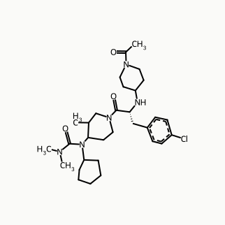 CC(=O)N1CCC(N[C@H](Cc2ccc(Cl)cc2)C(=O)N2CCC(N(C(=O)N(C)C)C3CCCCC3)C(C)C2)CC1